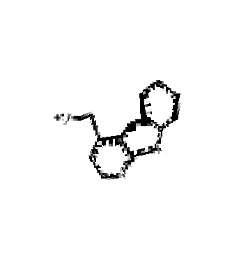 O=C(O)Cc1ccnc2[nH]c3ccccc3c12